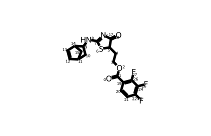 O=C(OCCC1SC(NC2CC3C=CC2C3)=NC1=O)c1ccc(F)c(F)c1F